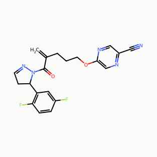 C=C(CCCOc1cnc(C#N)cn1)C(=O)N1N=CCC1c1cc(F)ccc1F